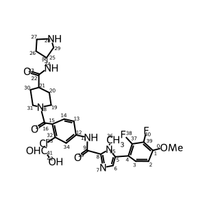 COc1ccc(-c2cnc(C(=O)Nc3ccc(C(=O)N4CCC(C(=O)N[C@@H]5CCNC5)CC4)c(Cl)c3)n2C)c(F)c1F.O=CO